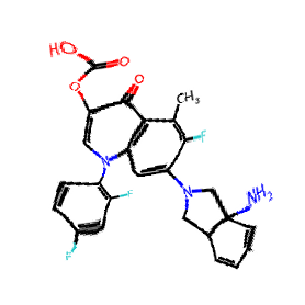 Cc1c(F)c(N2CC3C=CC=CC3(N)C2)cc2c1c(=O)c(OC(=O)O)cn2-c1ccc(F)cc1F